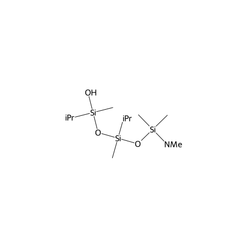 CN[Si](C)(C)O[Si](C)(O[Si](C)(O)C(C)C)C(C)C